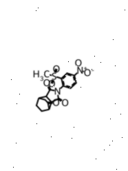 CS(=O)(=O)c1cc([N+](=O)[O-])ccc1N1C(=O)C2C3CCC(C(=O)C3)C2C1=O